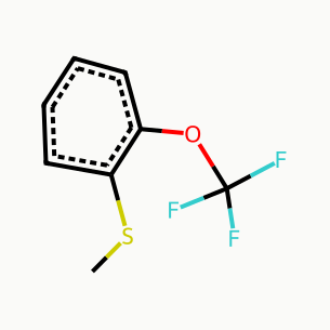 CSc1ccccc1OC(F)(F)F